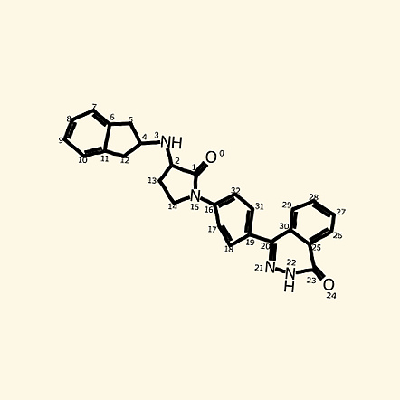 O=C1C(NC2Cc3ccccc3C2)CCN1c1ccc(-c2n[nH]c(=O)c3ccccc23)cc1